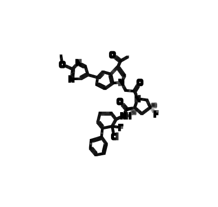 COc1ncc(-c2ccc3c(c2)c(C(C)=O)cn3CC(=O)N2C[C@H](F)C[C@H]2C(=O)NC2C=CC=C(c3ccccc3)C2(F)Cl)cn1